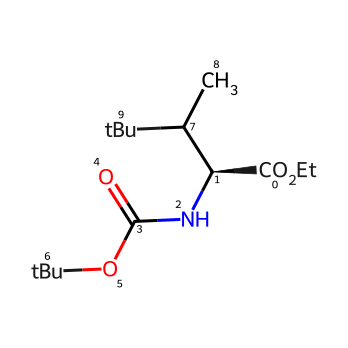 CCOC(=O)[C@@H](NC(=O)OC(C)(C)C)C(C)C(C)(C)C